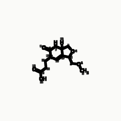 COCC1OC[C@H]2NC(=O)N(CCC(=O)O)C=C12